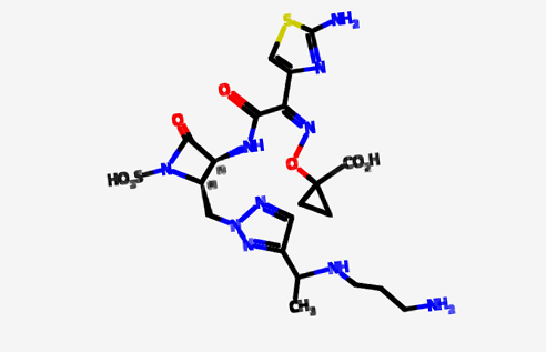 CC(NCCCN)c1cnn(C[C@@H]2[C@H](NC(=O)C(=NOC3(C(=O)O)CC3)c3csc(N)n3)C(=O)N2S(=O)(=O)O)n1